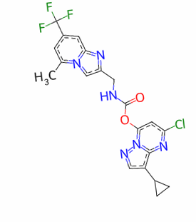 Cc1cc(C(F)(F)F)cc2nc(CNC(=O)Oc3cc(Cl)nc4c(C5CC5)cnn34)cn12